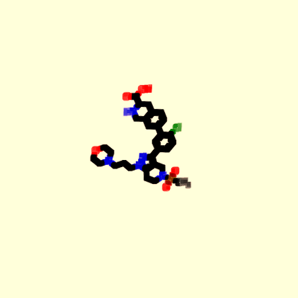 CS(=O)(=O)N1CCc2c(c(-c3ccc(Cl)c(-c4ccc5c(c4)CNC(C(=O)O)C5)c3)nn2CCCN2CCOCC2)C1